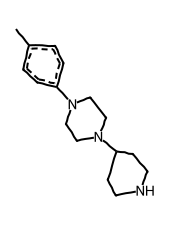 Cc1ccc(N2CCN(C3CCNCC3)CC2)cc1